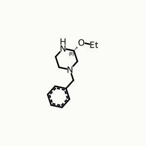 CCO[C@@H]1CN(Cc2ccccc2)CCN1